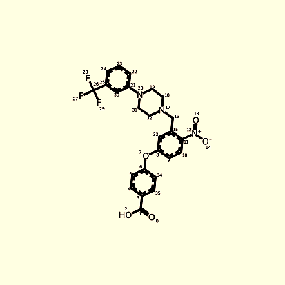 O=C(O)c1ccc(Oc2ccc([N+](=O)[O-])c(CN3CCN(c4cccc(C(F)(F)F)c4)CC3)c2)cc1